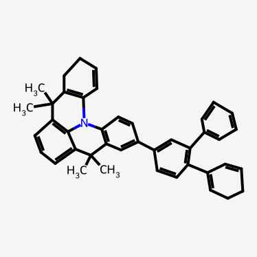 CC1(C)C2=C(C=CCC2)N2c3ccc(-c4ccc(C5=CCCC=C5)c(-c5ccccc5)c4)cc3C(C)(C)c3cccc1c32